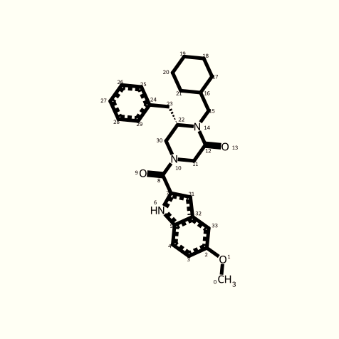 COc1ccc2[nH]c(C(=O)N3CC(=O)N(CC4CCCCC4)[C@@H](Cc4ccccc4)C3)cc2c1